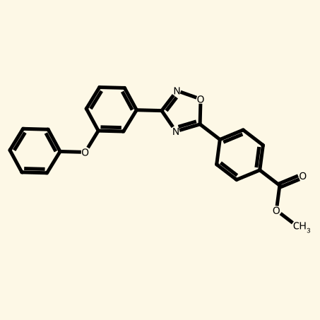 COC(=O)c1ccc(-c2nc(-c3cccc(Oc4ccccc4)c3)no2)cc1